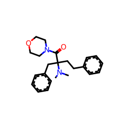 CN(C)C(CCc1ccccc1)(Cc1ccccc1)C(=O)N1CCOCC1